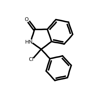 O=C1NC(Cl)(c2ccccc2)c2ccccc21